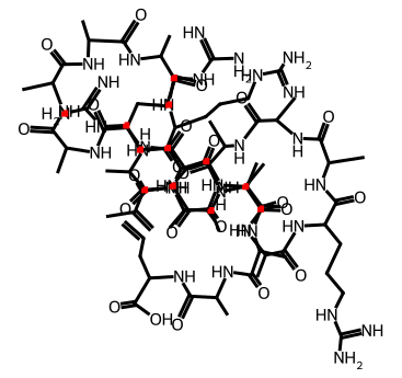 C=CCC(NC(=O)C(C)NC(=O)C(C)NC(=O)C(C)NC(=O)C(CCCNC(=N)N)NC(=O)C(C)NC(=O)C(C)NC(=O)C(C)NC(=O)C(C)NC(=O)C(CCCNC(=N)N)NC(=O)C(C)NC(=O)C(C)NC(=O)C(C)NC(=O)C(C)NC(=O)C(CCCNC(=N)N)NC(=O)C(C)NC(=O)C(C)NC(=O)C(C)NC(=O)C(C)NC(=O)C(CCCNC(=N)N)NC(=O)C(C)NC(=O)C(=C)C)C(=O)O